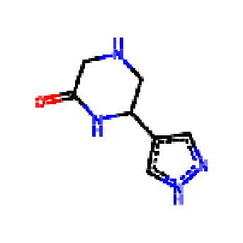 O=C1CNCC(c2cn[nH]c2)N1